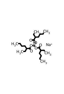 CCCCC(CC)C(=O)O[BH-](OC(=O)C(CC)CCCC)OC(=O)C(CC)CCCC.[Na+]